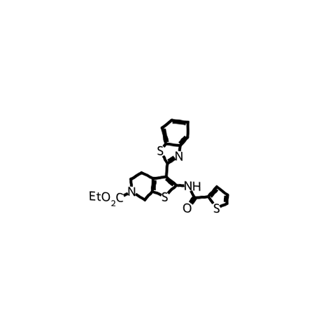 CCOC(=O)N1CCc2c(sc(NC(=O)c3cccs3)c2-c2nc3ccccc3s2)C1